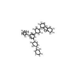 c1ccc(-c2ccc(-c3cc(-c4ccc(-c5cccc6c5oc5ccccc56)cc4)nc(-c4cnc[nH]4)n3)cc2)cc1